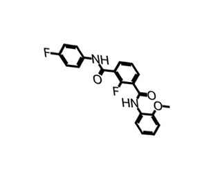 COc1ccccc1NC(=O)c1cccc(C(=O)Nc2ccc(F)cc2)c1F